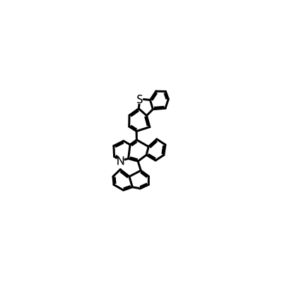 c1ccc2c(-c3c4ccccc4c(-c4ccc5sc6ccccc6c5c4)c4cccnc34)cccc2c1